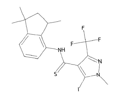 CC1CC(C)(C)c2cccc(NC(=S)c3c(C(F)(F)F)nn(C)c3I)c21